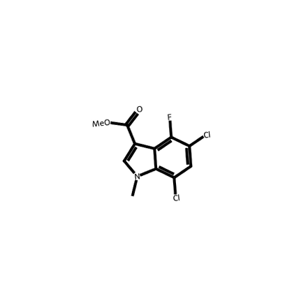 COC(=O)c1cn(C)c2c(Cl)cc(Cl)c(F)c12